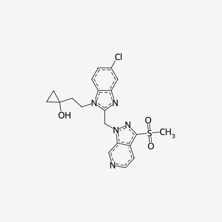 CS(=O)(=O)c1nn(Cc2nc3cc(Cl)ccc3n2CCC2(O)CC2)c2cnccc12